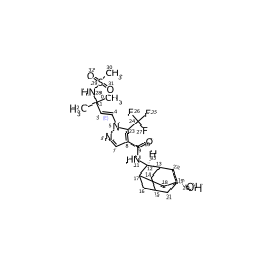 CC(C)(/C=C/n1ncc(C(=O)N[C@H]2C3CC4CC2C[C@](O)(C4)C3)c1C(F)(F)F)NS(C)(=O)=O